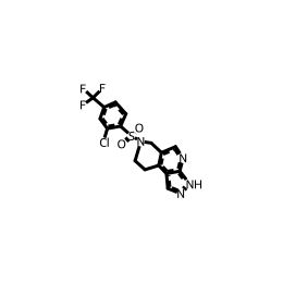 O=S(=O)(c1ccc(C(F)(F)F)cc1Cl)N1CCc2c(cnc3[nH]ncc23)C1